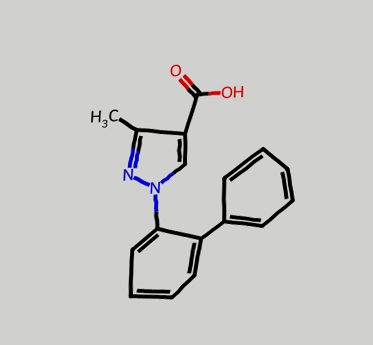 Cc1nn(-c2ccccc2-c2ccccc2)cc1C(=O)O